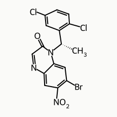 C[C@@H](c1cc(Cl)ccc1Cl)n1c(=O)cnc2cc([N+](=O)[O-])c(Br)cc21